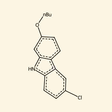 CCCCOc1ccc2c(c1)[nH]c1ccc(Cl)cc12